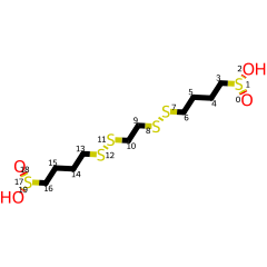 O=S(O)CCCCSSCCSSCCCCS(=O)O